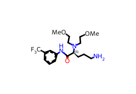 COCCN(CCOC)[C@@H](CCCN)C(=O)Nc1cccc(C(F)(F)F)c1